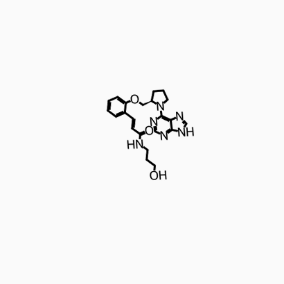 O=C(/C=C/c1ccccc1OC[C@H]1CCCN1c1ncnc2[nH]cnc12)NCCCO